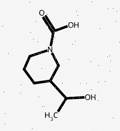 CC(O)C1CCCN(C(=O)O)C1